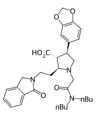 CCCCN(CCCC)C(=O)CN1C[C@H](c2ccc3c(c2)OCO3)[C@@H](C(=O)O)[C@@H]1CCN1Cc2ccccc2C1=O